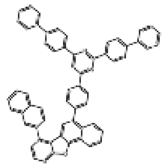 c1ccc(-c2ccc(-c3cc(-c4ccc(-c5cc6c(oc7cccc(-c8ccc9ccccc9c8)c76)c6ccccc56)cc4)nc(-c4ccc(-c5ccccc5)cc4)n3)cc2)cc1